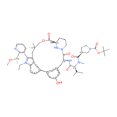 CCn1c(-c2cccnc2[C@H](C)OC)c2c3cc(ccc31)-c1cc(O)cc(c1)C[C@H](NC(=O)[C@H](C(C)C)N(C)C(=O)[C@H]1CCN(C(=O)OC(C)(C)C)C1)C(=O)N1CCC[C@H](N1)C(=O)OCC(C)(C)C2